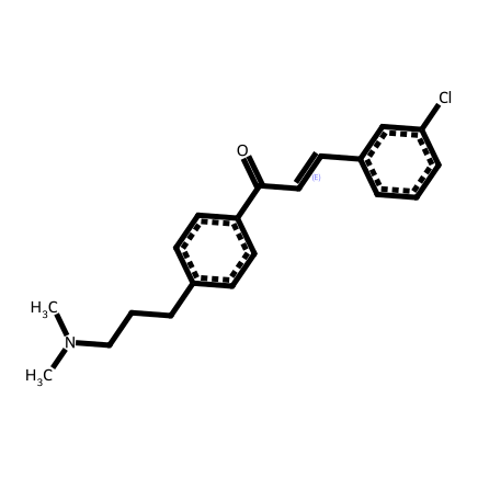 CN(C)CCCc1ccc(C(=O)/C=C/c2cccc(Cl)c2)cc1